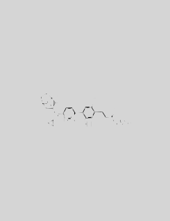 CNC(=O)/C=C/c1cc(O)c(-c2ccc(N(C3CC3)C3C[C@]4(C)CC[C@](C)(C3)N4)nn2)cc1F